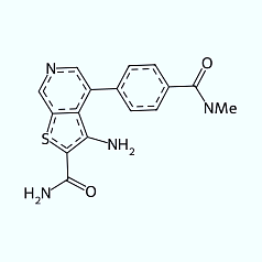 CNC(=O)c1ccc(-c2cncc3sc(C(N)=O)c(N)c23)cc1